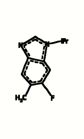 Cc1cc2ncn(C(C)C)c2cc1F